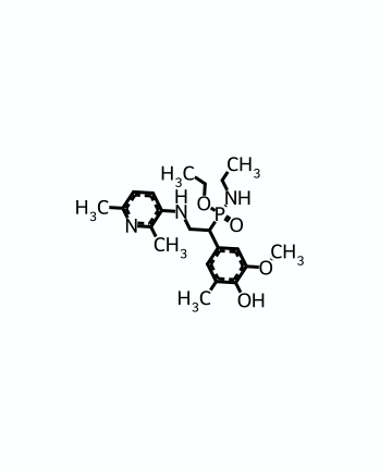 CCNP(=O)(OCC)C(CNc1ccc(C)nc1C)c1cc(C)c(O)c(OC)c1